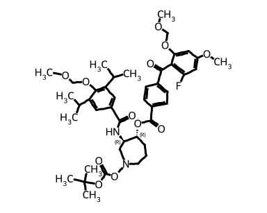 COCOc1cc(OC)cc(F)c1C(=O)c1ccc(C(=O)O[C@@H]2CCCN(OC(=O)OC(C)(C)C)C[C@H]2NC(=O)c2cc(C(C)C)c(OCOC)c(C(C)C)c2)cc1